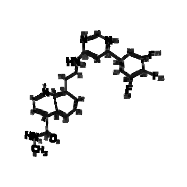 CNC(=O)c1ccnc2c(CCNc3cc(-c4cc(F)c(F)c(F)c4)ncn3)cccc12